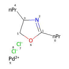 CCCC1=NC(CCC)CO1.[Cl-].[Cl-].[Pd+2]